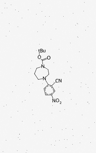 CC(C)(C)OC(=O)N1CCCN(c2ccc([N+](=O)[O-])cc2C#N)CC1